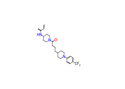 C=CC(=C)NC1CCN(C(=O)CCCC2CCN(c3ccc(C(F)(F)F)cc3)CC2)CC1